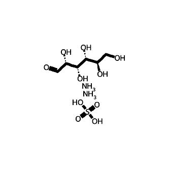 N.N.O=C[C@H](O)[C@@H](O)[C@H](O)[C@H](O)CO.O=S(=O)(O)O